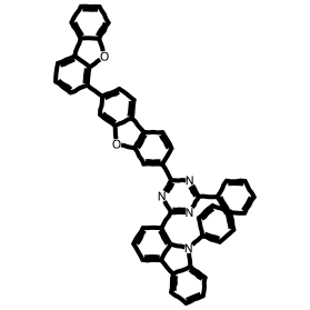 c1ccc(-c2nc(-c3ccc4c(c3)oc3cc(-c5cccc6c5oc5ccccc56)ccc34)nc(-c3cccc4c5ccccc5n(-c5ccccc5)c34)n2)cc1